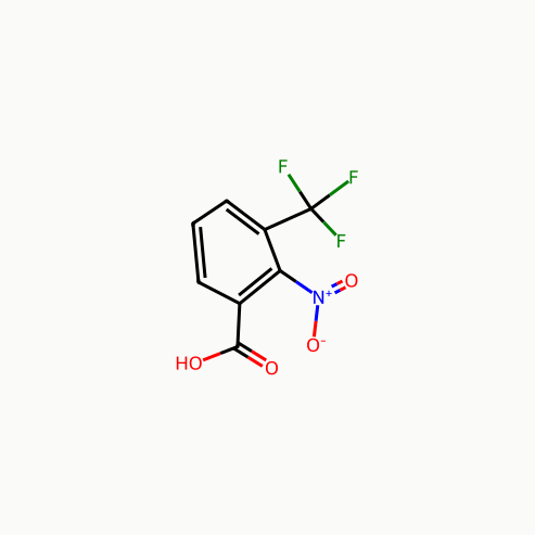 O=C(O)c1cccc(C(F)(F)F)c1[N+](=O)[O-]